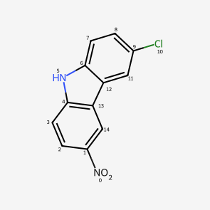 O=[N+]([O-])c1ccc2[nH]c3ccc(Cl)cc3c2c1